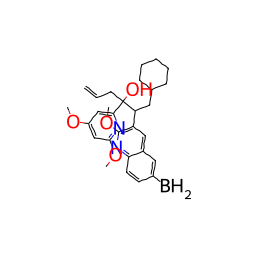 Bc1ccc2nc(OC)c(C(CC3CCCCC3)C(O)(CC=C)c3cc(OC)cc(OC)n3)cc2c1